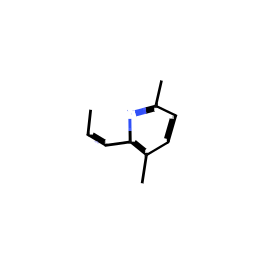 C/C=C\c1nc(C)ccc1C